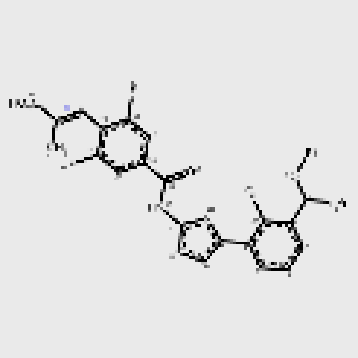 CCCC(OCC)c1cccc(-c2csc(NC(=O)c3cc(F)c(/C=C(\C)C(=O)O)c(F)c3)n2)c1F